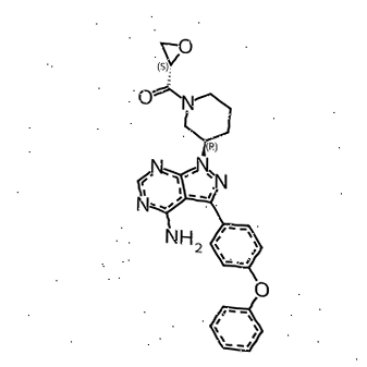 Nc1ncnc2c1c(-c1ccc(Oc3ccccc3)cc1)nn2[C@@H]1CCCN(C(=O)[C@@H]2CO2)C1